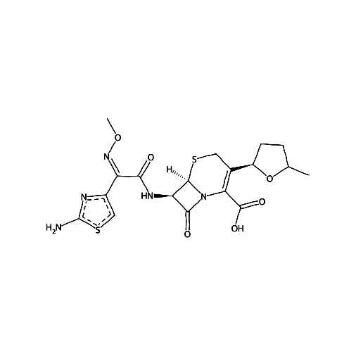 CO/N=C(\C(=O)N[C@@H]1C(=O)N2C(C(=O)O)=C([C@H]3CCC(C)O3)CS[C@H]12)c1csc(N)n1